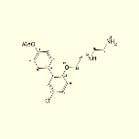 COc1ccc(-c2cc(Cl)ccc2OCCNCCN)cc1